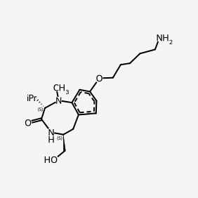 CC(C)[C@H]1C(=O)N[C@H](CO)Cc2ccc(OCCCCCN)cc2N1C